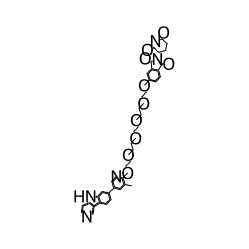 Cc1cc(-c2ccc3c(c2)[nH]c2ccncc23)cnc1OCCOCCOCCOCCOCCOc1ccc2c(c1)C(=O)N(C1CCC(=O)N(C)C1=O)C2=O